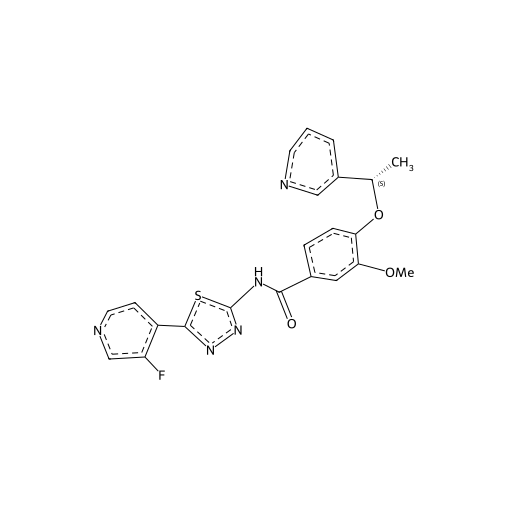 COc1cc(C(=O)Nc2nnc(-c3ccncc3F)s2)ccc1O[C@@H](C)c1cccnc1